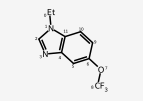 CCn1cnc2cc(OC(F)(F)F)ccc21